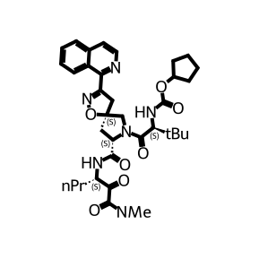 CCC[C@H](NC(=O)[C@@H]1C[C@]2(CC(c3nccc4ccccc34)=NO2)CN1C(=O)[C@@H](NC(=O)OC1CCCC1)C(C)(C)C)C(=O)C(=O)NC